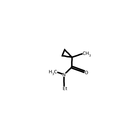 CCN(C)C(=O)C1(C)CC1